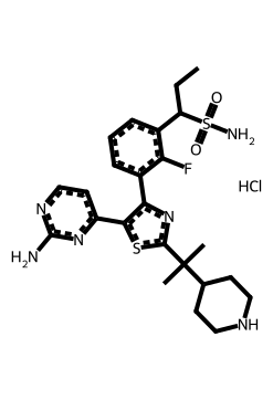 CCC(c1cccc(-c2nc(C(C)(C)C3CCNCC3)sc2-c2ccnc(N)n2)c1F)S(N)(=O)=O.Cl